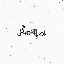 O=C(NCC(=O)N1CCN(Cc2cc(Br)ccc2Cl)CC1)C1C2CC(F)(F)CC21